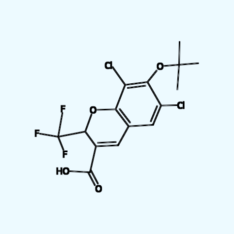 CC(C)(C)Oc1c(Cl)cc2c(c1Cl)OC(C(F)(F)F)C(C(=O)O)=C2